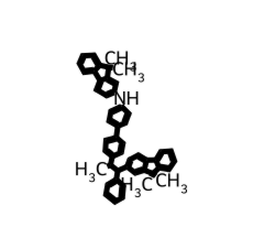 CC(c1ccc(-c2ccc(Nc3ccc4c(c3)C(C)(C)c3ccccc3-4)cc2)cc1)C(c1ccccc1)c1ccc2c(c1)C(C)(C)c1ccccc1-2